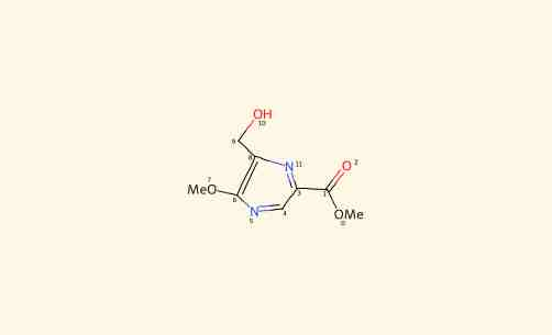 COC(=O)c1cnc(OC)c(CO)n1